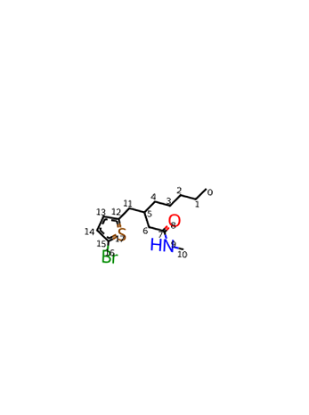 CCCCCC(CC(=O)NC)Cc1ccc(Br)s1